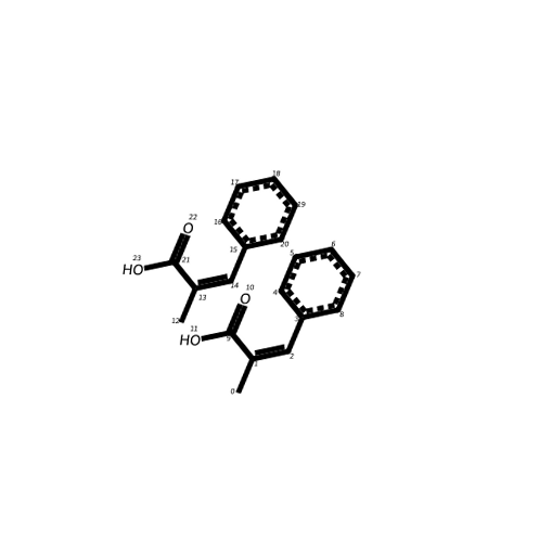 CC(=Cc1ccccc1)C(=O)O.CC(=Cc1ccccc1)C(=O)O